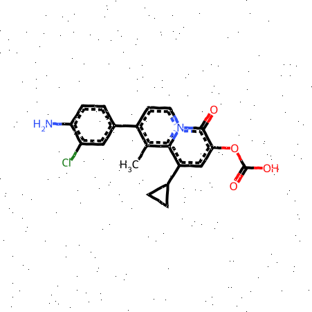 Cc1c(-c2ccc(N)c(Cl)c2)ccn2c(=O)c(OC(=O)O)cc(C3CC3)c12